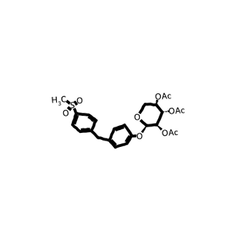 CC(=O)O[C@@H]1[C@@H](OC(C)=O)[C@@H](Oc2ccc(Cc3ccc(S(C)(=O)=O)cc3)cc2)OC[C@H]1OC(C)=O